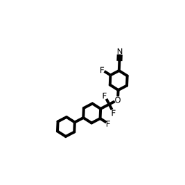 N#CC1CCC(OC(F)(F)C2CCC(C3CCCCC3)CC2F)CC1F